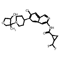 CC1(N2CCC(c3cc4cc(NC(=O)C5CC5C(F)F)ncc4cc3Cl)CC2)COCC1O